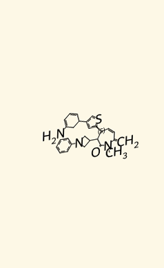 C=C1C=C[C@H](c2cc(C3C=CC=C(N)C3)cs2)C(C2CN(c3ccccc3)C2)C(=O)N1C